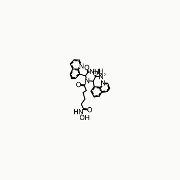 NC(=O)C(c1cccc2cccnc12)N(C(=O)CCCCC(=O)NO)C(C(N)=O)c1cccc2cccnc12